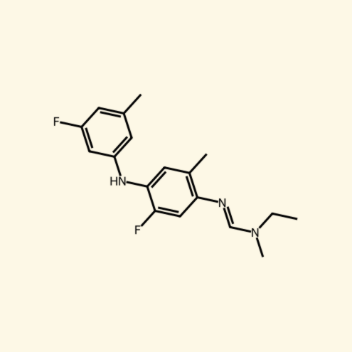 CCN(C)/C=N/c1cc(F)c(Nc2cc(C)cc(F)c2)cc1C